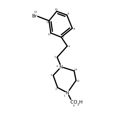 O=C(O)N1CCN(CCc2cccc(Br)c2)CC1